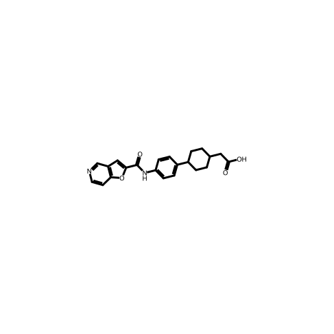 O=C(O)CC1CCC(c2ccc(NC(=O)c3cc4cnccc4o3)cc2)CC1